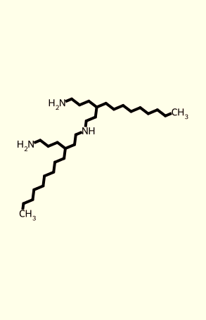 CCCCCCCCCC(CCCN)CCNCCC(CCCN)CCCCCCCCC